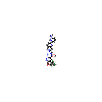 CN(C)c1cccc(-c2ccc3cnc(CNC(=O)c4cnc5c(c4)[C@](F)(C(F)F)COC5)cc3n2)n1